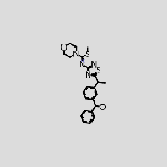 CS/C(=N\c1nsc(C(C)c2cccc(C(=O)c3ccccc3)c2)n1)N1CCOCC1